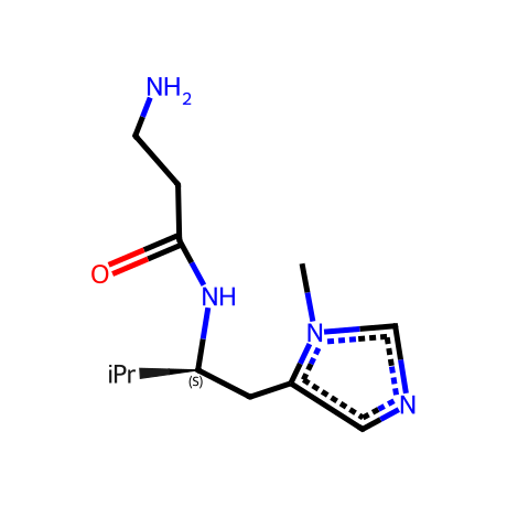 CC(C)[C@H](Cc1cncn1C)NC(=O)CCN